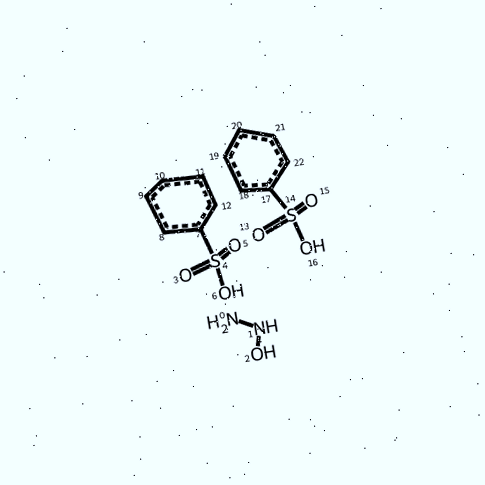 NNO.O=S(=O)(O)c1ccccc1.O=S(=O)(O)c1ccccc1